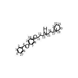 c1ccc(COc2ccc(OCCCNCCCN3CCCCC3)cc2)cc1